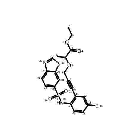 CCOC(=O)C(C)OCC#Cc1cc(Cl)ccc1NS(=O)(=O)c1ccc2ncsc2c1